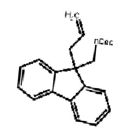 C=CCC1(CCCCCCCCCCC)c2ccccc2-c2ccccc21